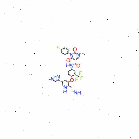 CCn1cc(C(=O)Nc2ccc(OC3=CC(c4cn(C)cn4)=CN/C3=C\C=N)c(C(F)(F)F)c2)c(=O)n(-c2ccc(F)cc2)c1=O